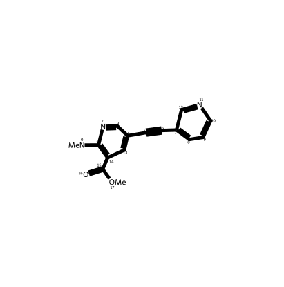 CNc1ncc(C#Cc2cccnc2)cc1C(=O)OC